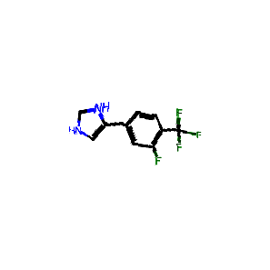 Fc1cc(C2=CNCN2)ccc1C(F)(F)F